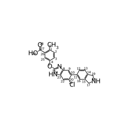 Cc1ccc(Oc2nc3cc(-c4ccc5c(c4)CNC5)c(Cl)cc3[nH]2)cc1C(=O)O